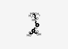 CC(C)(O)CCC(=O)NCCc1cccc(OCc2ccc(CC(=O)O)c(CC(=O)O)c2)c1